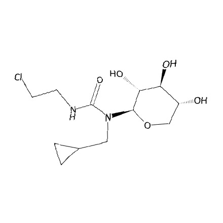 O=C(NCCCl)N(CC1CC1)[C@@H]1OC[C@@H](O)[C@H](O)[C@H]1O